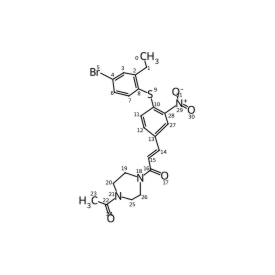 CCc1cc(Br)ccc1Sc1ccc(C=CC(=O)N2CCN(C(C)=O)CC2)cc1[N+](=O)[O-]